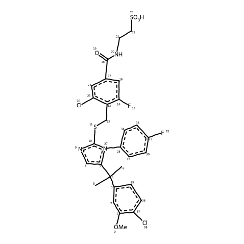 COc1cc(C(C)(C)c2cnc(SCc3c(F)cc(C(=O)NCCS(=O)(=O)O)cc3Cl)n2-c2ccc(F)cc2)ccc1Cl